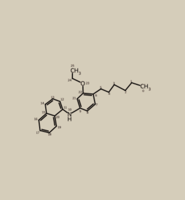 CCCCCCc1ccc(Nc2cccc3ccccc23)cc1OCC